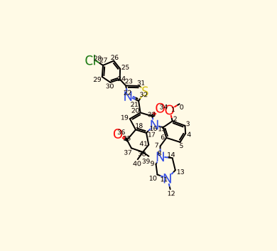 COc1cccc(CN2CCN(C)CC2)c1-n1c2c(cc(-c3nc(-c4ccc(Cl)cc4)cs3)c1=O)C(=O)CC(C)(C)C2